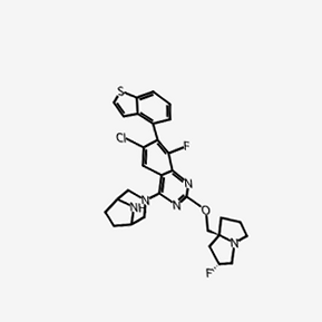 Fc1c(-c2cccc3sccc23)c(Cl)cc2c(N3CC4CCC(C3)N4)nc(OC[C@@]34CCCN3C[C@H](F)C4)nc12